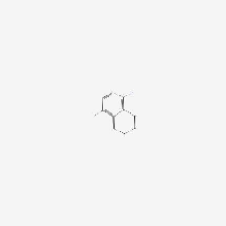 CC(C)c1ccc(I)c2c1CCCC2